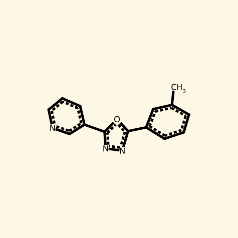 Cc1cccc(-c2nnc(-c3cccnc3)o2)c1